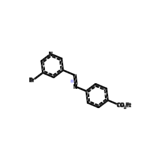 CCOC(=O)c1ccc(/N=C/c2cncc(Br)c2)cc1